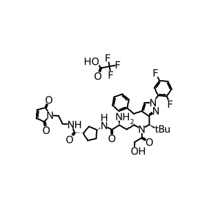 CC(C)(C)[C@H](c1nn(-c2cc(F)ccc2F)cc1Cc1ccccc1)N(CC[C@H](N)C(=O)N[C@@H]1CC[C@H](C(=O)NCCN2C(=O)C=CC2=O)C1)C(=O)CO.O=C(O)C(F)(F)F